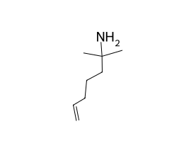 C=CCCCC(C)(C)N